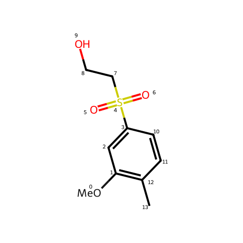 COc1cc(S(=O)(=O)CCO)ccc1C